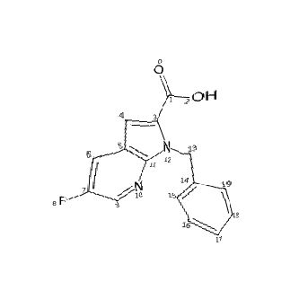 O=C(O)c1cc2cc(F)cnc2n1Cc1ccccc1